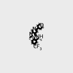 Cc1nc(N[C@H](C)c2cccc(C(F)(F)F)c2)c2cc(C3CCOCC3)ncc2n1